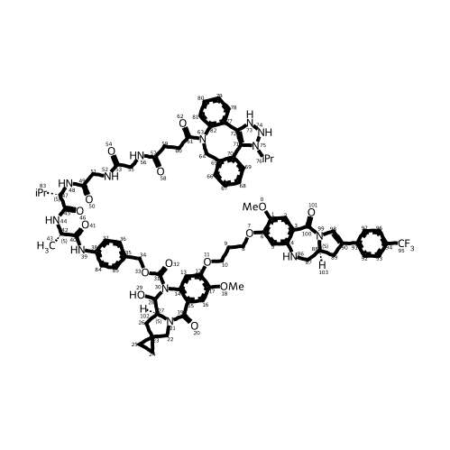 COc1cc2c(cc1OCCCOc1cc3c(cc1OC)C(=O)N1CC4(CC4)C[C@H]1C(O)N3C(=O)OCc1ccc(NC(=O)[C@H](C)NC(=O)[C@@H](NC(=O)CNC(=O)CNC(=O)CCC(=O)N3Cc4ccccc4C4=C(NNN4C(C)C)c4ccccc43)C(C)C)cc1)NC[C@@H]1CC(c3ccc(C(F)(F)F)cc3)=CN1C2=O